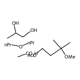 CC(=O)O.CC(O)CO.CCCOCCC.COC(C)(C)CCOC(C)=O